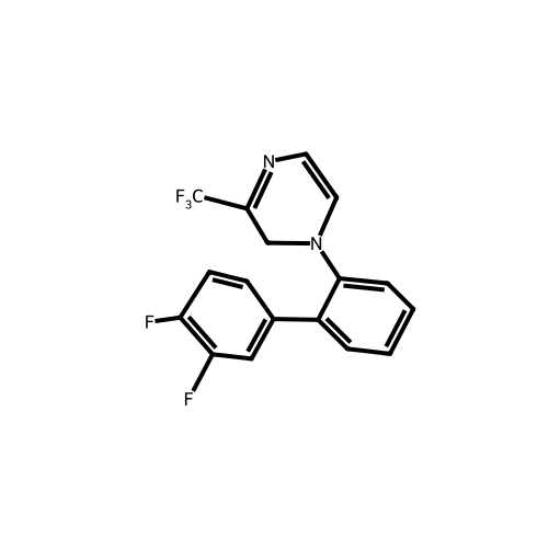 Fc1ccc(-c2ccccc2N2C=CN=C(C(F)(F)F)C2)cc1F